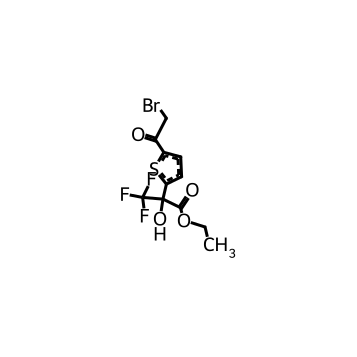 CCOC(=O)C(O)(c1ccc(C(=O)CBr)s1)C(F)(F)F